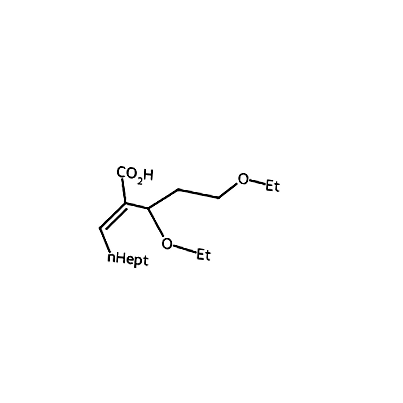 CCCCCCCC=C(C(=O)O)C(CCOCC)OCC